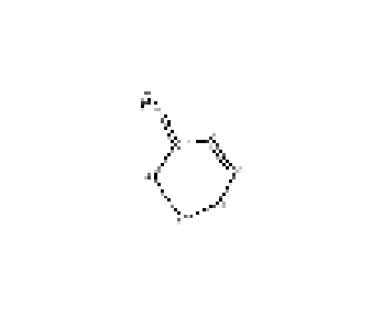 N=C1C=CCCC1